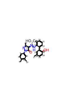 CC1=NN(c2ccc(C)c(C)c2)C(=O)C1=NNc1c(C(=O)O)cccc1-c1cc(C)ccc1O